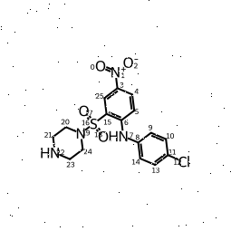 O=[N+]([O-])c1ccc(Nc2ccc(Cl)cc2)c(S(=O)(=O)N2CCNCC2)c1